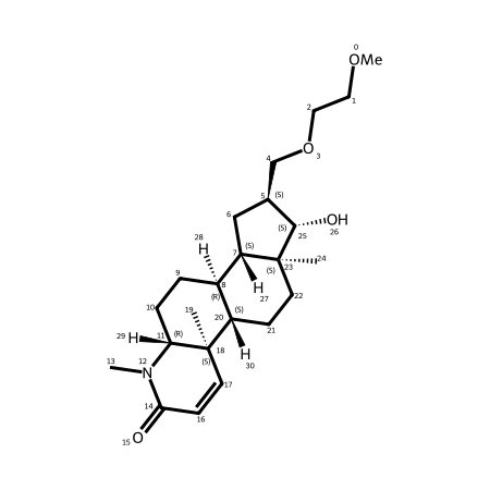 COCCOC[C@@H]1C[C@H]2[C@@H]3CC[C@H]4N(C)C(=O)C=C[C@]4(C)[C@H]3CC[C@]2(C)[C@H]1O